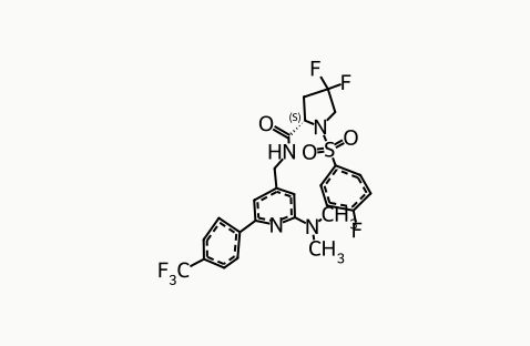 CN(C)c1cc(CNC(=O)[C@@H]2CC(F)(F)CN2S(=O)(=O)c2ccc(F)cc2)cc(-c2ccc(C(F)(F)F)cc2)n1